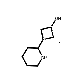 OC1CN(C2CCCCN2)C1